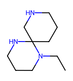 CCN1CCCNC12CCCNC2